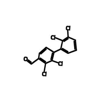 O=Cc1ccc(-c2cccc(Cl)c2Cl)c(Cl)c1Cl